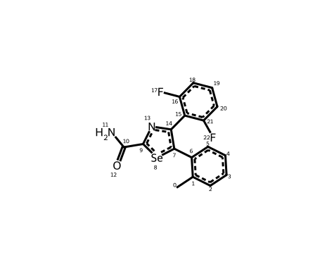 Cc1ccccc1-c1[se]c(C(N)=O)nc1-c1c(F)cccc1F